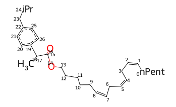 CCCCC/C=C\C/C=C\C/C=C\CCCCCOC(=O)C(C)c1ccc(CC(C)C)cc1